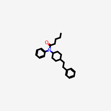 CCCCC(=O)N(c1ccccc1)C1CCC(CCc2ccccc2)CC1